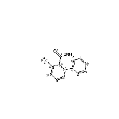 NC(=O)c1c(-c2ccncc2)ccnc1C(F)(F)F